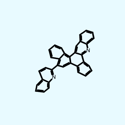 c1ccc2nc(-c3cc4c5ccccc5c5nc6ccccc6cc5c4c4ccccc34)ccc2c1